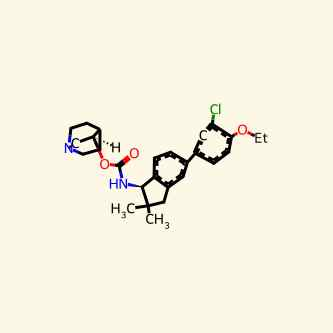 CCOc1ccc(-c2ccc3c(c2)CC(C)(C)[C@H]3NC(=O)O[C@H]2CN3CCC2CC3)cc1Cl